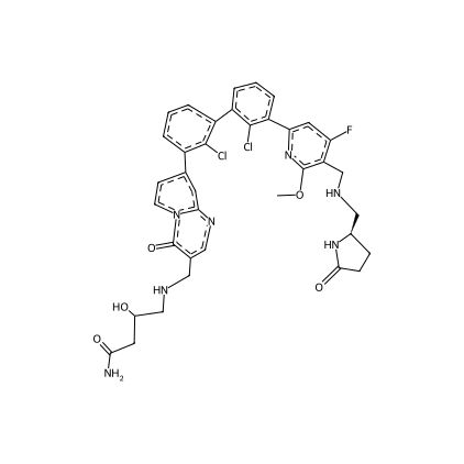 COc1nc(-c2cccc(-c3cccc(-c4ccn5c(=O)c(CNCC(O)CC(N)=O)cnc5c4)c3Cl)c2Cl)cc(F)c1CNC[C@H]1CCC(=O)N1